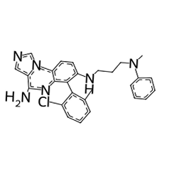 Cc1cccc(Cl)c1-c1c(NCCCN(C)c2ccccc2)ccc2c1nc(N)c1cncn12